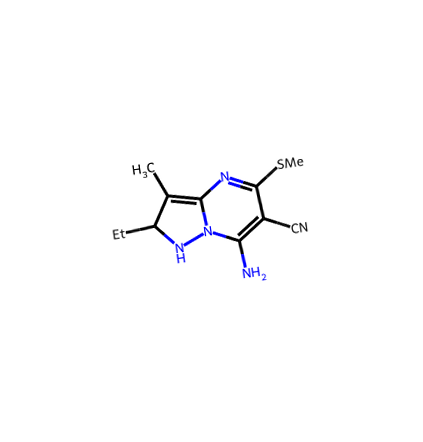 CCC1NN2C(N)=C(C#N)C(SC)=NC2=C1C